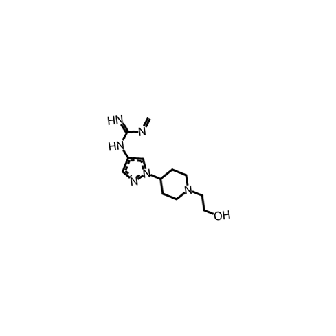 C=NC(=N)Nc1cnn(C2CCN(CCO)CC2)c1